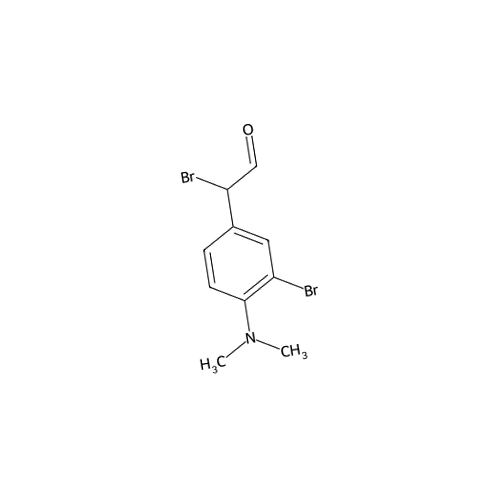 CN(C)c1ccc(C(Br)C=O)cc1Br